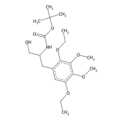 CCOc1cc(CC(CO)NC(=O)OC(C)(C)C)c(OCC)c(OC)c1OC